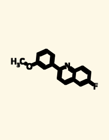 COc1cccc(-c2ccc3cc(F)ccc3n2)c1